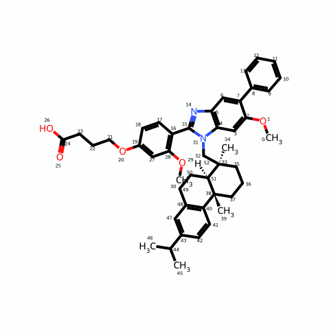 COc1cc2c(cc1-c1ccccc1)nc(-c1ccc(OCCCC(=O)O)cc1OC)n2C[C@@]1(C)CCC[C@]2(C)c3ccc(C(C)C)cc3CC[C@@H]12